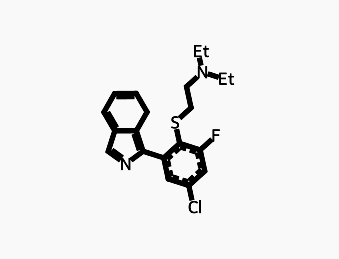 CCN(CC)CCSc1c(F)cc(Cl)cc1C1=C2CC=CC=C2C=N1